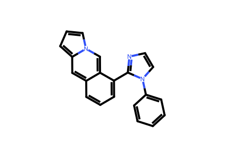 c1ccc(-n2ccnc2-c2cccc3cc4cccn4cc23)cc1